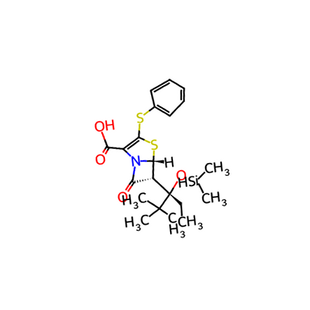 CC[C@](O[SiH](C)C)([C@@H]1C(=O)N2C(C(=O)O)=C(Sc3ccccc3)S[C@H]12)C(C)(C)C